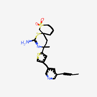 CC#Cc1cncc(-c2csc(C3(C)CC4(CCCS(=O)(=O)C4)SC(N)=N3)c2)c1